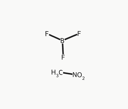 C[N+](=O)[O-].FB(F)F